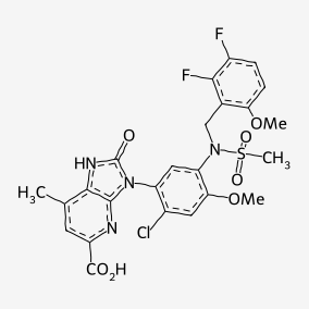 COc1cc(Cl)c(-n2c(=O)[nH]c3c(C)cc(C(=O)O)nc32)cc1N(Cc1c(OC)ccc(F)c1F)S(C)(=O)=O